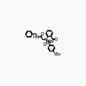 CC(C)(C)c1ccc(S(=O)(=O)N(CC(=O)NCc2ccccc2)c2ccccc2C(N)=O)cc1